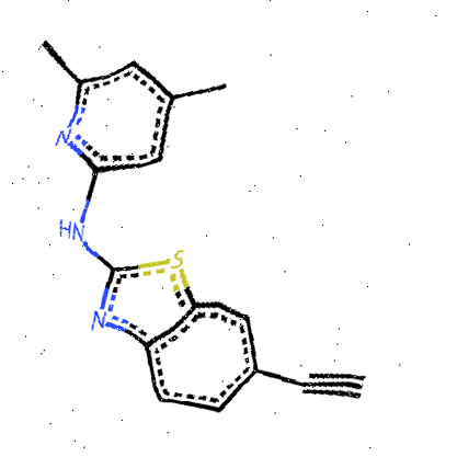 C#Cc1ccc2nc(Nc3cc(C)cc(C)n3)sc2c1